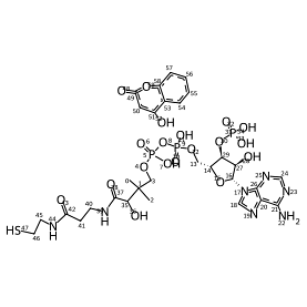 CC(C)(COP(=O)(O)OP(=O)(O)OC[C@H]1O[C@@H](n2cnc3c(N)ncnc32)[C@H](O)[C@@H]1OP(=O)(O)O)C(O)C(=O)NCCC(=O)NCCS.O=c1cc(O)c2ccccc2o1